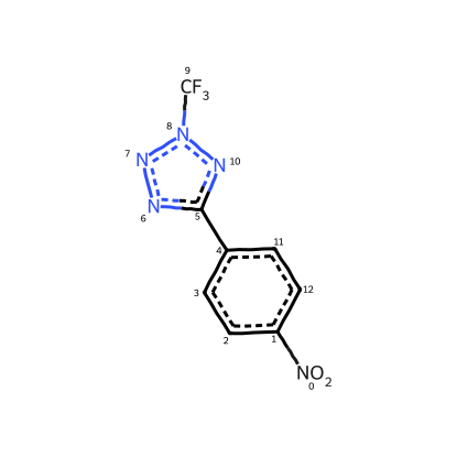 O=[N+]([O-])c1ccc(-c2nnn(C(F)(F)F)n2)cc1